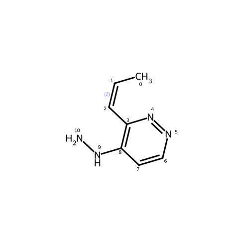 C/C=C\c1nnccc1NN